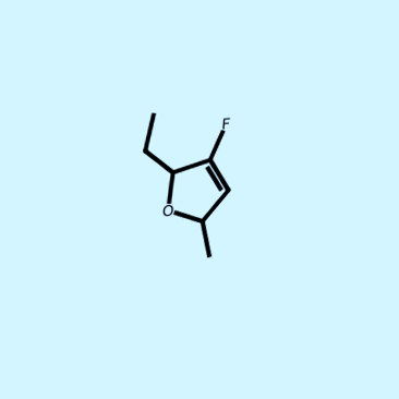 CCC1OC(C)C=C1F